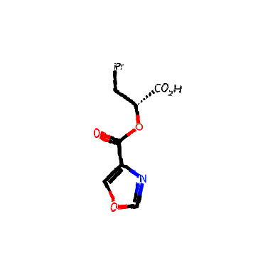 CC(C)C[C@@H](OC(=O)c1cocn1)C(=O)O